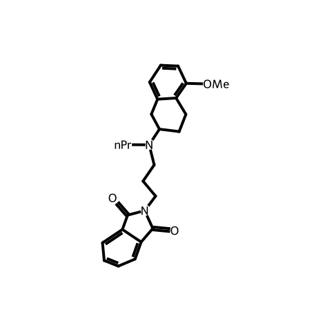 CCCN(CCCN1C(=O)c2ccccc2C1=O)C1CCc2c(cccc2OC)C1